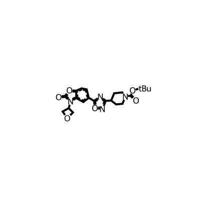 CC(C)(C)OC(=O)N1CCC(c2noc(-c3ccc4oc(=O)n(C5COC5)c4c3)n2)CC1